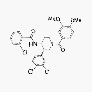 COc1ccc(C(=O)N2CC[C@@H](NC(=O)c3ccccc3Cl)[C@H](c3ccc(Cl)c(Cl)c3)C2)cc1OC